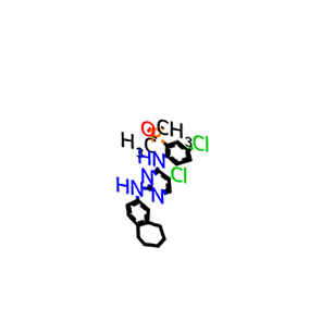 CP(C)(=O)c1cc(Cl)ccc1Nc1nc(Nc2ccc3c(c2)CCCCC3)ncc1Cl